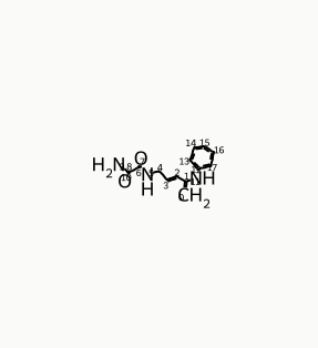 C=C(/C=C/CNC(=O)C(N)=O)Nc1ccccc1